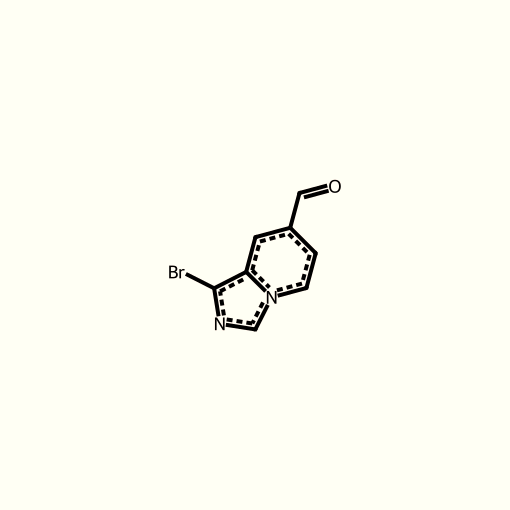 O=Cc1ccn2cnc(Br)c2c1